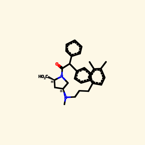 Cc1ccc(CCCN(C)[C@H]2C[C@@H](C(=O)O)N(C(=O)C(c3ccccc3)c3ccccc3)C2)cc1C